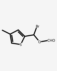 Cc1csc(C(Br)OC=O)c1